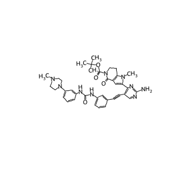 CN1CCN(c2cccc(NC(=O)Nc3cccc(C#Cc4cnc(N)nc4-c4cc5c(n4C)CCN(C(=O)OC(C)(C)C)C5=O)c3)c2)CC1